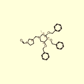 C[C@@H]1[C@@H](OCc2ccccc2)[C@H](OCc2ccccc2)[C@@H](OCc2ccccc2)CN1C[C@H]1CCN(C=O)C1